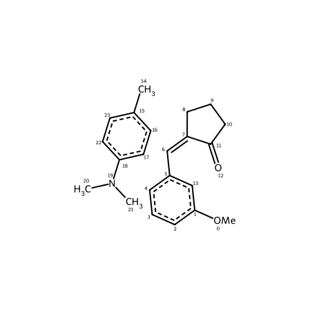 COc1cccc(C=C2CCCC2=O)c1.Cc1ccc(N(C)C)cc1